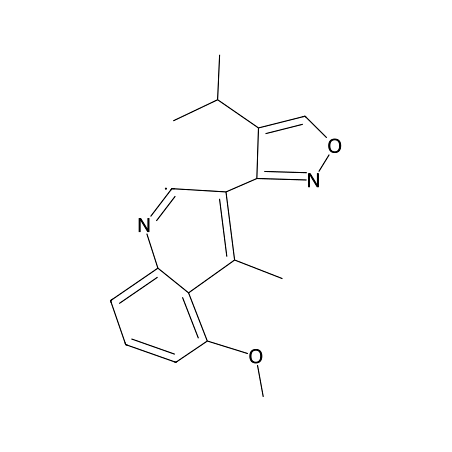 COc1cccc2n[c]c(-c3nocc3C(C)C)c(C)c12